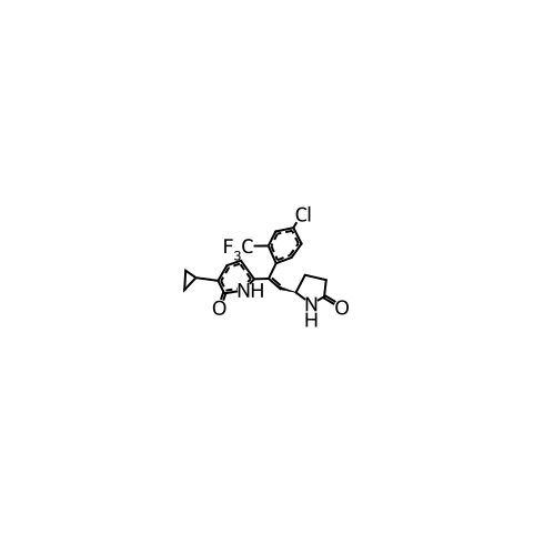 O=C1CC[C@H](C=C(c2ccc(C3CC3)c(=O)[nH]2)c2ccc(Cl)cc2C(F)(F)F)N1